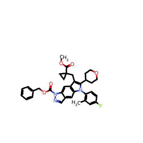 COC(=O)C1(Cc2c(C3CCOCC3)n(-c3ccc(F)cc3C)c3cc4cnn(C(=O)OCc5ccccc5)c4cc23)CC1